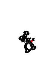 Cc1cc2c3c(c1)N(c1ccc4c(c1)C(C)(C)CCC4(C)C)c1c(ccc4c1C(C)(C)CCC4(C)C)B3c1c3sc4cc5c(cc14)C(C)(C)CCC5(C)CC1(C)CCC(C)(C)c4cc(ccc41)-c1cc(C(C)(C)C)ccc1N23